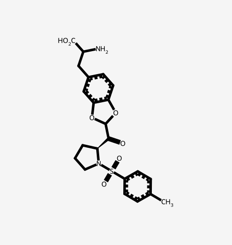 Cc1ccc(S(=O)(=O)N2CCC[C@H]2C(=O)C2Oc3ccc(CC(N)C(=O)O)cc3O2)cc1